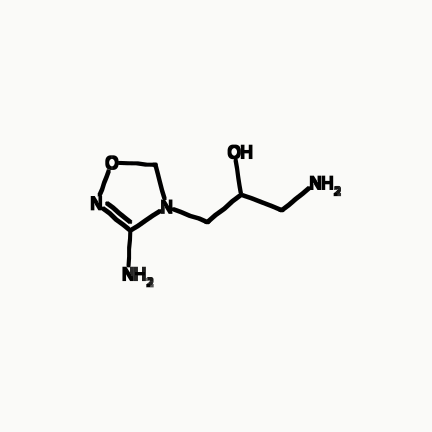 NCC(O)CN1CON=C1N